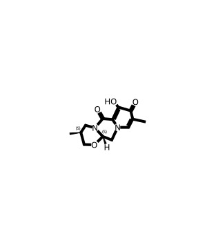 Cc1cn2c(c(O)c1=O)C(=O)N1C[C@H](C)CO[C@H]1C2